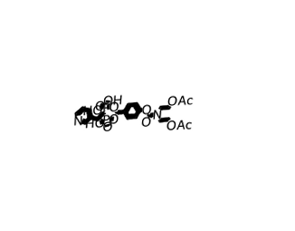 CC(=O)OCCN(CCOC(C)=O)C(=O)Oc1ccc(C2OP(=O)(O)C(O)(Cc3cccnc3)P(=O)(O)O2)cc1